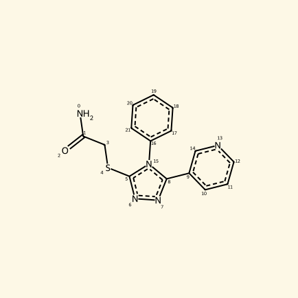 NC(=O)CSc1nnc(-c2cccnc2)n1-c1ccccc1